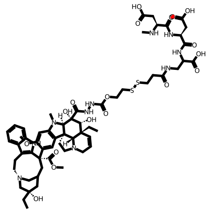 CC[C@]1(O)CC2C[N@@](CCc3c([nH]c4ccccc34)[C@@](C(=O)OC)(c3cc4c(cc3OC)N(C)[C@H]3[C@@](O)(C(=O)NNC(=O)OCCSSCCC(=O)NCC(NC(=O)[C@H](CC(=O)O)NC(=O)[C@H](CC(=O)O)NC)C(=O)O)[C@H](O)[C@]5(CC)C=CCN6CC[C@]43[C@@H]65)C2)C1